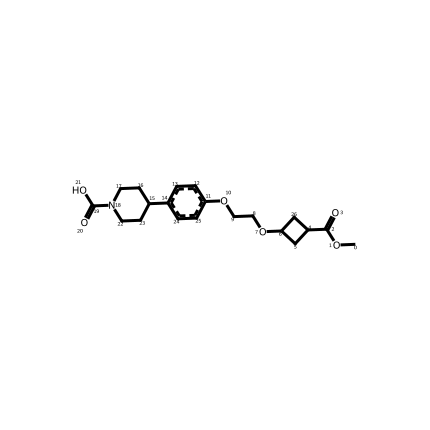 COC(=O)C1CC(OCCOc2ccc(C3CCN(C(=O)O)CC3)cc2)C1